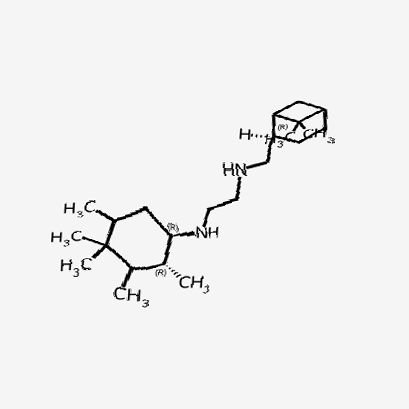 CC1C[C@@H](NCCNC[C@@H]2CCC3CC2C3(C)C)[C@H](C)C(C)C1(C)C